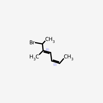 C/C=C\C=C(/C)C(C)Br